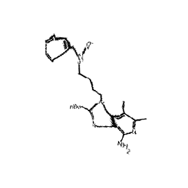 CCCCc1nc2c(N)nc(C)c(C)c2n1CCCC[S+]([O-])c1ccccc1